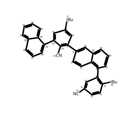 CC(C)(C)c1cc(-c2ccc3c(-c4cc(C#N)ccc4C(C)(C)C)cccc3c2)c(C#N)c(-c2cccc3ccccc23)c1